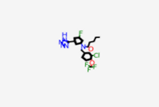 CCCCC(=O)N(Cc1ccc(OC(F)(F)F)c(Cl)c1)c1cc(F)cc(-c2nnn[nH]2)c1